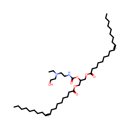 CCCCCCCC/C=C\CCCCCCCC(=O)OCC(COC(=O)CCCCCCC/C=C\CCCCCCCC)OC(=O)NCCN(CC)CCO